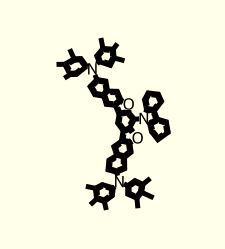 Cc1cc(N(c2cc(C)c(C)c(C)c2)c2ccc3cc4c(cc3c2)oc2c(-n3c5ccccc5c5ccccc53)c3oc5cc6cc(N(c7cc(C)c(C)c(C)c7)c7cc(C)c(C)c(C)c7)ccc6cc5c3cc24)cc(C)c1C